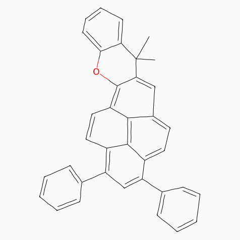 CC1(C)c2ccccc2Oc2c1cc1ccc3c(-c4ccccc4)cc(-c4ccccc4)c4ccc2c1c34